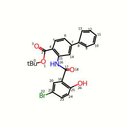 CC(C)(C)OC(=O)c1ccc(-c2ccccc2)cc1NC(=O)c1cc(Br)ccc1O